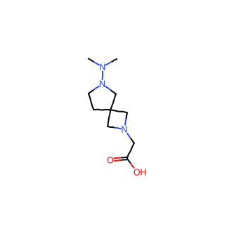 CN(C)N1CCC2(CN(CC(=O)O)C2)C1